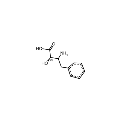 NC(Cc1ccccc1)[C@@H](O)C(=O)O